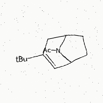 CC(=O)N1C2C=C(C(C)(C)C)CC1CC2